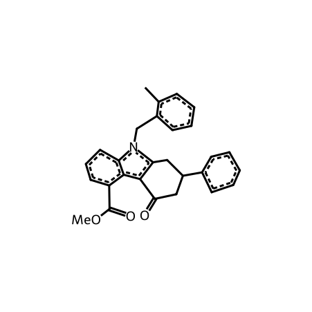 COC(=O)c1cccc2c1c1c(n2Cc2ccccc2C)CC(c2ccccc2)CC1=O